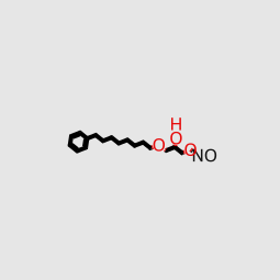 O=NOCC(O)COCCCCCCCCc1ccccc1